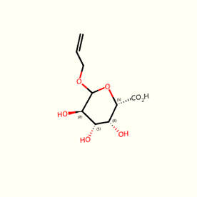 C=CCOC1O[C@H](C(=O)O)[C@H](O)[C@H](O)[C@H]1O